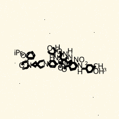 CC(C)Oc1ccccc1[C@@H]1COCCN1C1CC2(CCN(c3ccc(S(=O)(=O)NC(=O)c4ccc(NCC5CCC(C)(O)CC5)c([N+](=O)[O-])c4)c(N4c5cc6cc[nH]c6nc5O[C@@H]5COCC[C@H]54)c3)CC2)C1